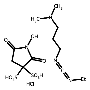 CCN=C=NCCCN(C)C.Cl.O=C1CC(S(=O)(=O)O)(S(=O)(=O)O)C(=O)N1O